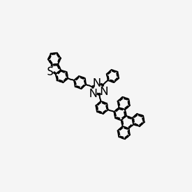 c1ccc(-c2nc(-c3ccc(-c4ccc5sc6ccccc6c5c4)cc3)nc(-c3cccc(-c4cc5c6ccccc6c6ccccc6c5c5ccccc45)c3)n2)cc1